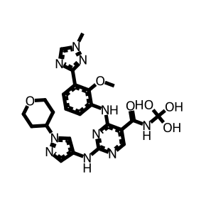 COc1c(Nc2nc(Nc3cnn(C4CCOCC4)c3)ncc2C(=O)NC(O)(O)O)cccc1-c1ncn(C)n1